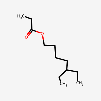 CCC(=O)OCCCCC(CC)CC